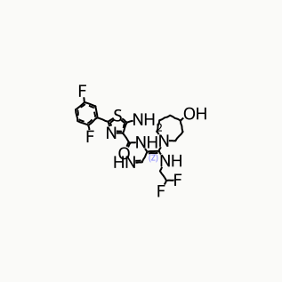 N=C/C(NC(=O)c1nc(-c2cc(F)ccc2F)sc1N)=C(\NCC(F)F)N1CCCC(O)CC1